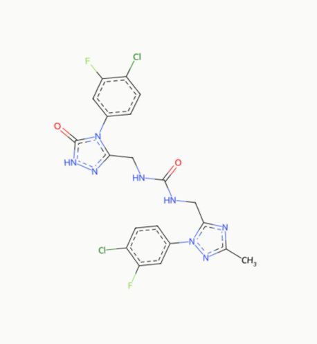 Cc1nc(CNC(=O)NCc2n[nH]c(=O)n2-c2ccc(Cl)c(F)c2)n(-c2ccc(Cl)c(F)c2)n1